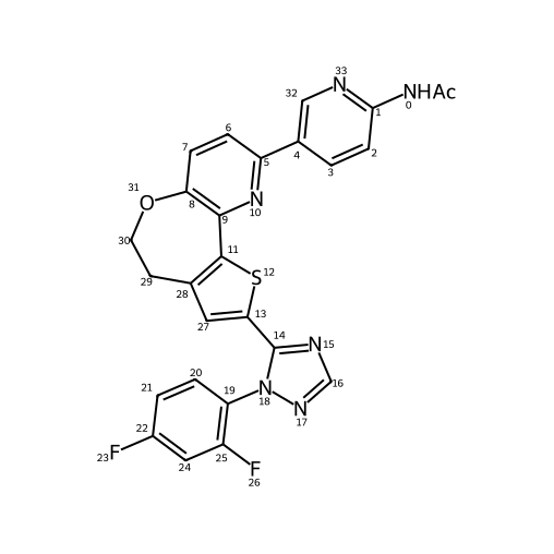 CC(=O)Nc1ccc(-c2ccc3c(n2)-c2sc(-c4ncnn4-c4ccc(F)cc4F)cc2CCO3)cn1